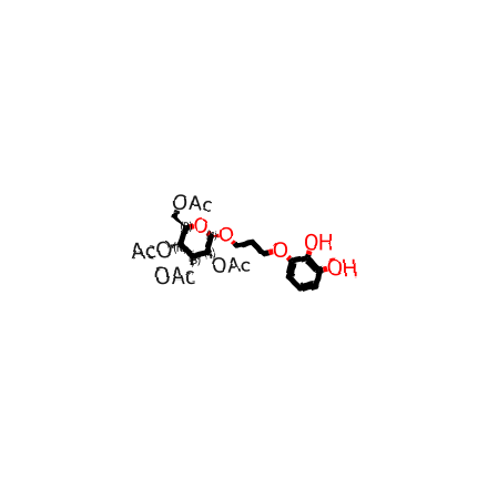 CC(=O)OC[C@H]1O[C@@H](OCCCOc2cccc(O)c2O)[C@H](OC(C)=O)[C@@H](OC(C)=O)[C@@H]1OC(C)=O